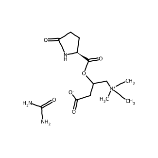 C[N+](C)(C)CC(CC(=O)[O-])OC(=O)[C@@H]1CCC(=O)N1.NC(N)=O